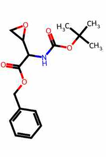 CC(C)(C)OC(=O)NC(C(=O)OCc1ccccc1)C1CO1